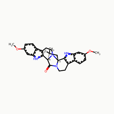 COc1ccc2c3c([nH]c2c1)[C@]12CC(C)(C)[C@]4(C(=O)N1CC3)c1[nH]c3cc(OC)ccc3c1CCN24